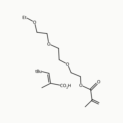 C=C(C)C(=O)OCCOCCOCCOCC.CC(=CC(C)(C)C)C(=O)O